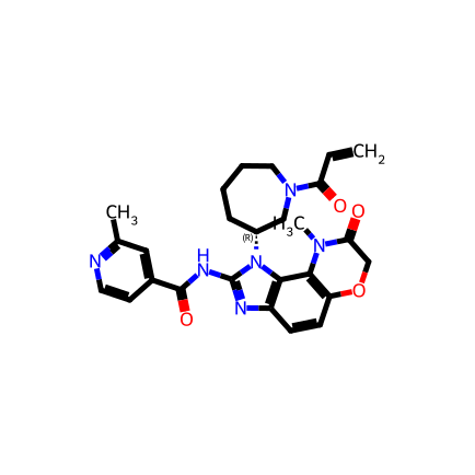 C=CC(=O)N1CCCC[C@@H](n2c(NC(=O)c3ccnc(C)c3)nc3ccc4c(c32)N(C)C(=O)CO4)C1